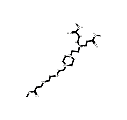 COC(=O)CCNCCNCCN1CCN(CCN(CCC(=O)OC)CCC(=O)OC)CC1